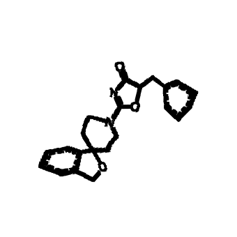 O=C1N=C(N2CCC3(CC2)OCc2ccccc23)OC1Cc1ccccc1